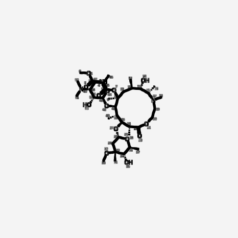 COC(=O)NC(=O)O[C@@]1(C)C[C@@H](C)[C@H](O)[C@H](C)N(C)CCOC(=O)[C@H](C)[C@@H](O[C@H]2C[C@@](C)(OC)[C@@H](O)[C@H](C)O2)[C@H](C)[C@H]1O[C@@H]1O[C@H](C)C[C@H](N(C)C)[C@H]1O